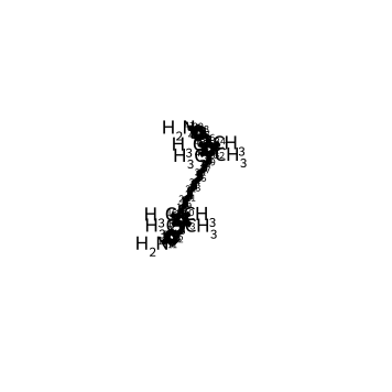 Cc1c(C)c(Cc2ccc(N)cc2)c(C)c(C)c1CCCCCCCCCCCCc1c(C)c(C)c(Cc2ccc(N)cc2)c(C)c1C